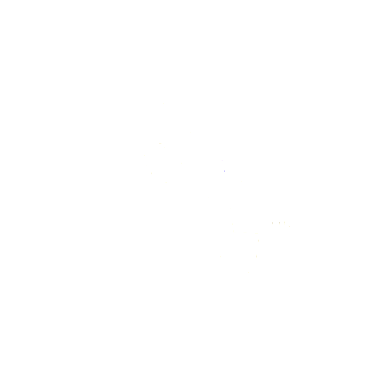 C/C=C\c1ccccc1C1C=C(c2ccccc2C)C=CN1